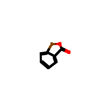 O=c1osc2ccccc12